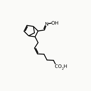 O=C(O)CCC/C=C\CC1C2C=CC(C2)C1C=NO